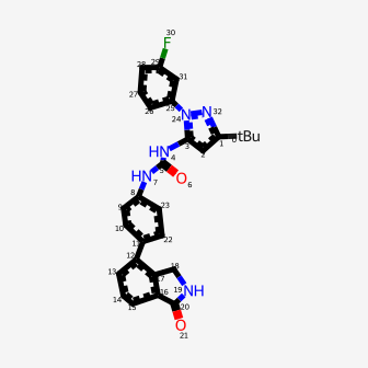 CC(C)(C)c1cc(NC(=O)Nc2ccc(-c3cccc4c3CNC4=O)cc2)n(-c2cccc(F)c2)n1